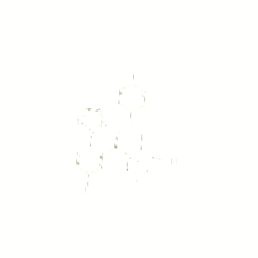 C[C@H]1C2CC(C2)N(C(=O)c2cc(F)ccc2-n2nccn2)C1COc1ccc(F)cc1